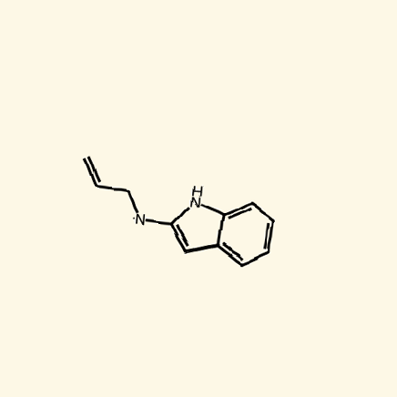 C=CC[N]c1cc2ccccc2[nH]1